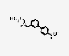 CN(CC(=O)O)Cc1cccc(-c2ccc([S+](C)[O-])cc2)c1